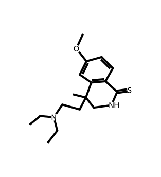 CCN(CC)CCC1(C)CNC(=S)c2ccc(OC)cc21